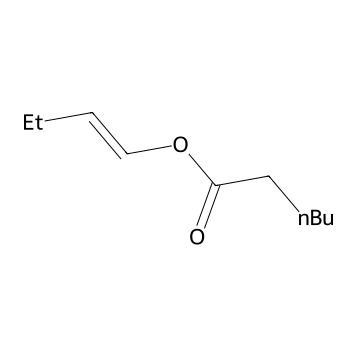 CCC=COC(=O)CCCCC